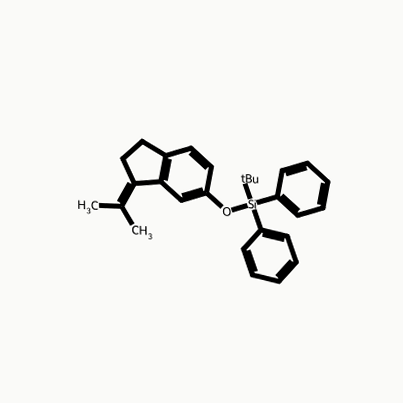 CC(C)=C1CCc2ccc(O[Si](c3ccccc3)(c3ccccc3)C(C)(C)C)cc21